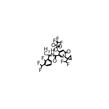 C[C@@H](NC(=O)c1cn(C2(C(F)F)CC2)c(=O)cc1OS(=O)(=O)C(F)(F)F)c1cccc(C(F)F)c1F